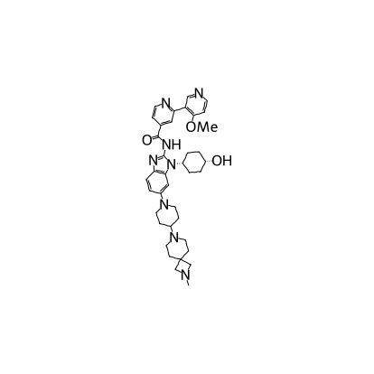 COc1ccncc1-c1cc(C(=O)Nc2nc3ccc(N4CCC(N5CCC6(CC5)CN(C)C6)CC4)cc3n2[C@H]2CC[C@@H](O)CC2)ccn1